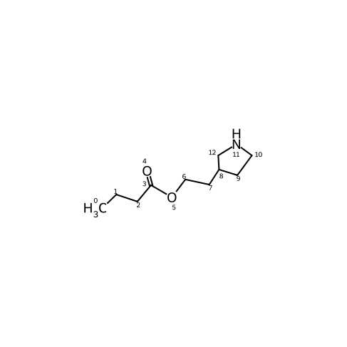 CCCC(=O)OCCC1CCNC1